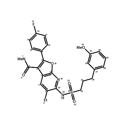 CCc1cc2c(C(=O)NC)c(-c3ccc(F)cc3)oc2nc1NS(=O)(=O)CCCc1cccc(OC)c1